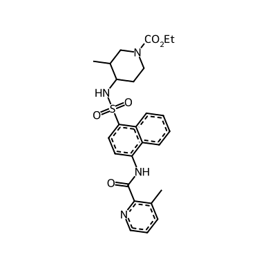 CCOC(=O)N1CCC(NS(=O)(=O)c2ccc(NC(=O)c3ncccc3C)c3ccccc23)C(C)C1